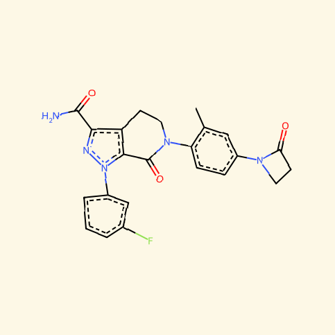 Cc1cc(N2CCC2=O)ccc1N1CCc2c(C(N)=O)nn(-c3cccc(F)c3)c2C1=O